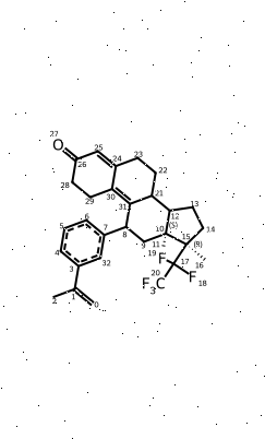 C=C(C)c1cccc(C2C[C@@]3(C)C(CC[C@@]3(C)C(F)(F)C(F)(F)F)C3CCC4=CC(=O)CCC4=C23)c1